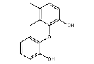 Cc1ccc(O)c(Oc2ccccc2O)c1C